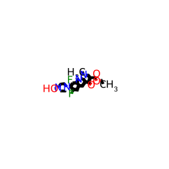 CCOC(=O)c1cn(C)c2nc3c(F)c(N4CCN(O)CC4)c(F)cc3cc2c1=O